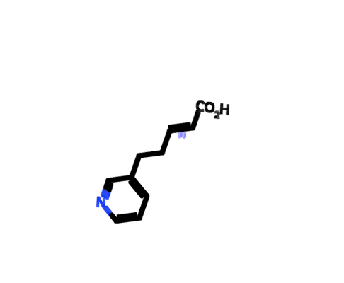 O=C(O)/C=C/CCc1cccnc1